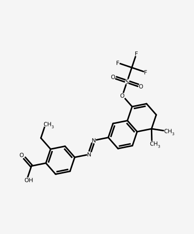 CCc1cc(/N=N/c2ccc3c(c2)C(OS(=O)(=O)C(F)(F)F)=CCC3(C)C)ccc1C(=O)O